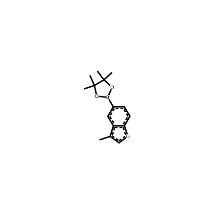 Cc1coc2ccc(B3OC(C)(C)C(C)(C)O3)cc12